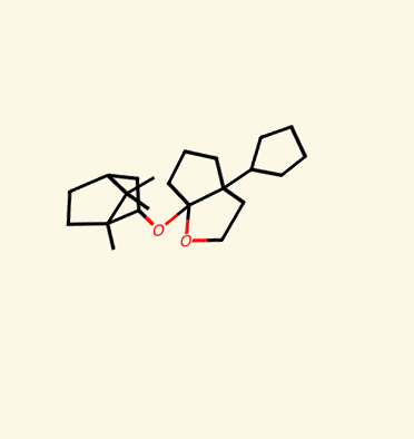 CC1(C)C2CCC1(C)C(OC13CCCC1(C1CCCC1)CCO3)C2